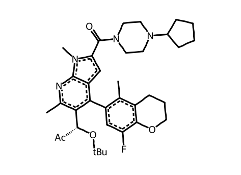 CC(=O)[C@@H](OC(C)(C)C)c1c(C)nc2c(cc(C(=O)N3CCN(C4CCCC4)CC3)n2C)c1-c1cc(F)c2c(c1C)CCCO2